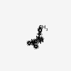 CN1CCN(C2CC(c3nc(-c4ccc5c(c4)nc(-c4ccccc4)n5Cc4ccccc4)c4c(N)nccn34)C2)CC1